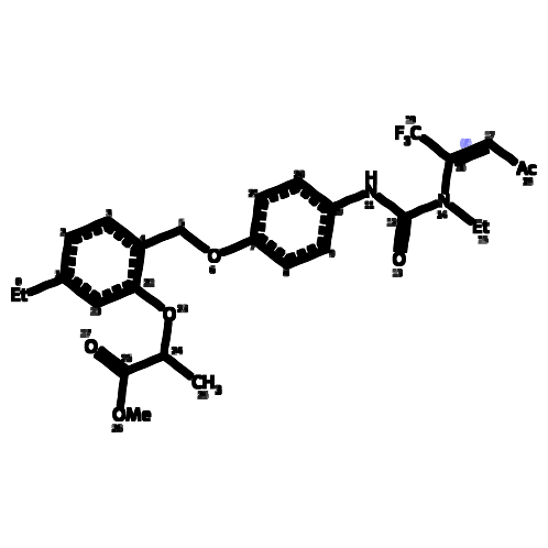 CCc1ccc(COc2ccc(NC(=O)N(CC)/C(=C\C(C)=O)C(F)(F)F)cc2)c(OC(C)C(=O)OC)c1